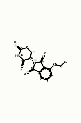 CCOc1cccc2c1C(=O)N([C@H]1CCC(=O)NC1=O)C2=O